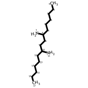 CCCCCCC(N)CCC(N)CCCCCC